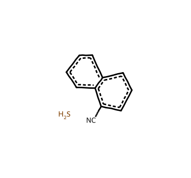 N#Cc1cccc2ccccc12.S